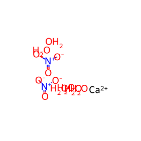 O.O.O.O.O.O.O=[N+]([O-])[O-].O=[N+]([O-])[O-].[Ca+2]